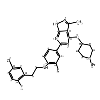 Cc1n[nH]c2nc(-c3ccc(NCCc4cc(Cl)ccc4F)c(F)c3)nc(OC3CCN(C(C)C)CC3)c12